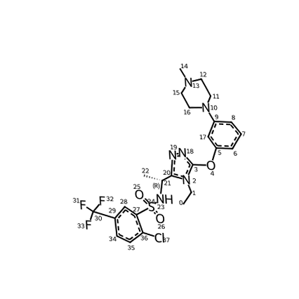 CCn1c(Oc2cccc(N3CCN(C)CC3)c2)nnc1[C@@H](C)NS(=O)(=O)c1cc(C(F)(F)F)ccc1Cl